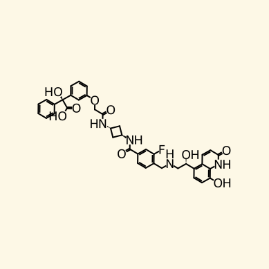 O=C(COc1cccc([C@](O)(C(=O)O)c2ccccc2)c1)N[C@H]1C[C@H](NC(=O)c2ccc(CNC[C@H](O)c3ccc(O)c4[nH]c(=O)ccc34)c(F)c2)C1